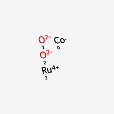 [Co].[O-2].[O-2].[Ru+4]